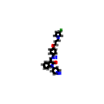 O=C1C(=CNc2ccc(OCCCN3CCC(F)C3)cc2)c2ccccc2N1C1CCNCC1